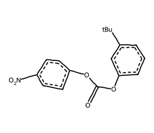 CC(C)(C)c1cccc(OC(=O)Oc2ccc([N+](=O)[O-])cc2)c1